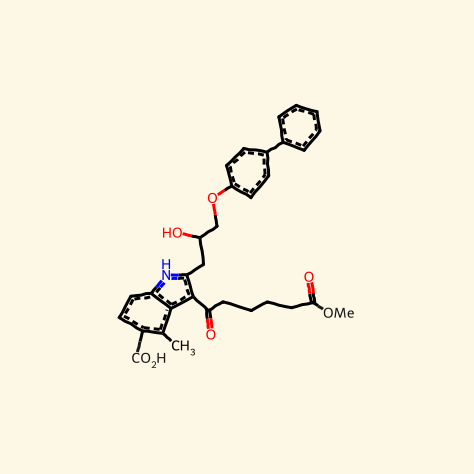 COC(=O)CCCCC(=O)c1c(CC(O)COc2ccc(-c3ccccc3)cc2)[nH]c2ccc(C(=O)O)c(C)c12